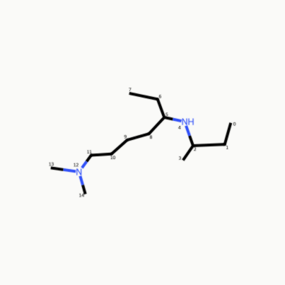 CCC(C)NC(CC)CCCCN(C)C